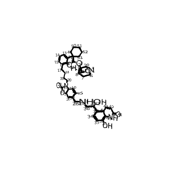 O=C(O[C@H]1CN2CCC1CC2)C1(c2cccc(CCCCn3c(=O)oc4cc(CNC[C@@H](O)c5ccc(O)c6[nH]c(=O)ccc56)ccc43)c2)CCCCC1